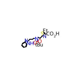 CCc1sc(CCN(CCCc2nc3ccccc3[nH]2)C(=O)OC(C)(C)C)nc1C(=O)O